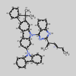 C=C/C=C/C(=C)c1nc(-n2c3cc(-n4c5ccccc5c5ccccc54)ccc3c3cc4c(cc32)C(C)(C)c2ccccc2-4)c2ccccc2n1